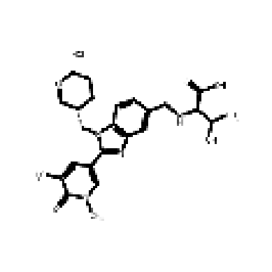 Cc1cc(-c2nc3cc(CNC(C(=O)O)C(C)O)ccc3n2C[C@H]2CCCOC2)cn(C)c1=O.Cl